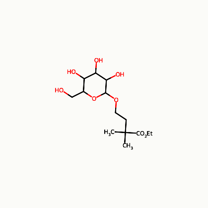 CCOC(=O)C(C)(C)CCOC1OC(CO)C(O)C(O)C1O